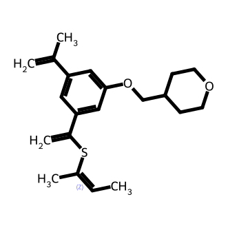 C=C(C)c1cc(OCC2CCOCC2)cc(C(=C)S/C(C)=C\C)c1